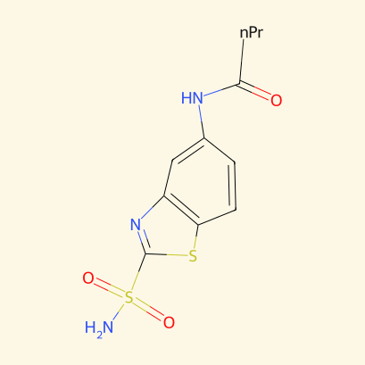 CCCC(=O)Nc1ccc2sc(S(N)(=O)=O)nc2c1